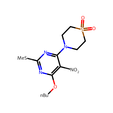 CCCCOc1nc(SC)nc(N2CCS(=O)(=O)CC2)c1[N+](=O)[O-]